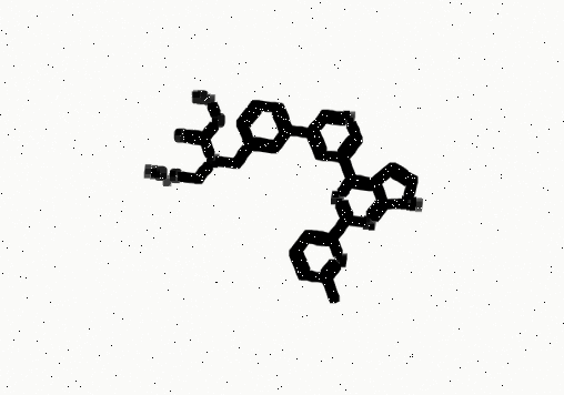 Cc1cccc(-c2nc(-c3cncc(-c4cccc(CN(CC(=O)O)C(=O)OC(C)(C)C)c4)c3)c3cc[nH]c3n2)n1